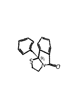 O=C1c2ccccc2[C@@]2(c3ccccc3)SCCN12